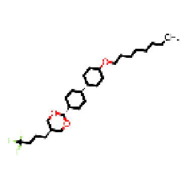 CCCCCCCCO[C@H]1CC[C@H](C2CCC([C@H]3OC[C@H](CCCC(F)(F)F)CO3)CC2)CC1